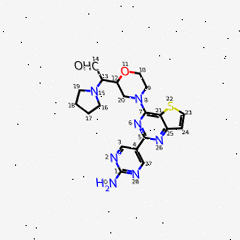 Nc1ncc(-c2nc(N3CCOC(C(C=O)N4CCCC4)C3)c3sccc3n2)cn1